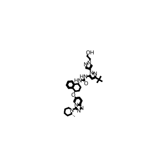 C[C@@H]1CCCCN1c1nnc2ccc(O[C@@H]3CC[C@H](NC(=O)Nc4cc(C(C)(C)C)nn4-c4cnn(CCO)c4)c4ccccc43)cn12